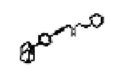 C(#Cc1ccc(C2C3CC4CC(C3)CC2C4)cc1)CNCCC1CCCCC1